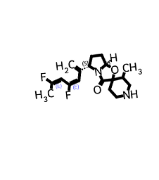 C=C(/C=C(F)\C=C(/C)F)[C@@H]1CC[C@H]2OC3(CCNCC3C)C(=O)N21